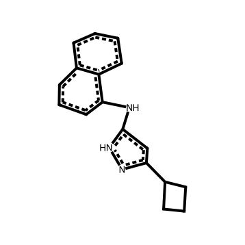 c1ccc2c(Nc3cc(C4CCC4)n[nH]3)cccc2c1